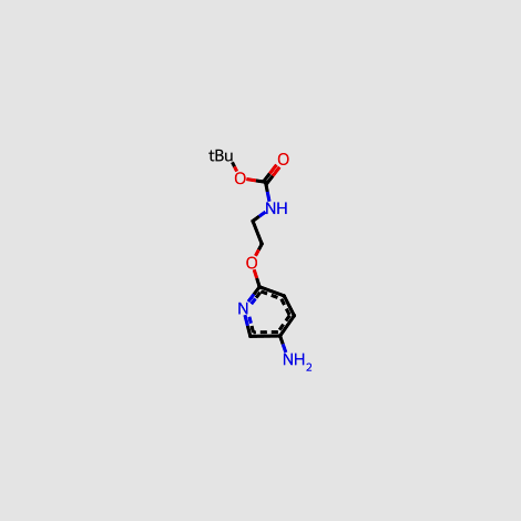 CC(C)(C)OC(=O)NCCOc1ccc(N)cn1